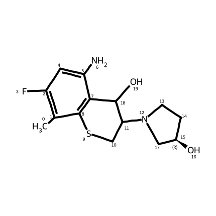 Cc1c(F)cc(N)c2c1SCC(N1CC[C@@H](O)C1)C2O